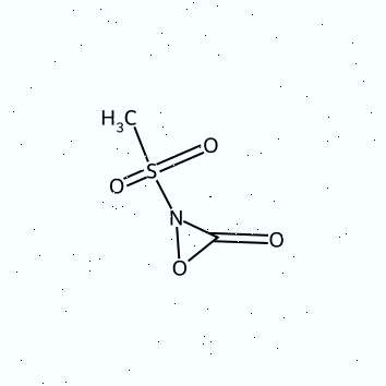 CS(=O)(=O)N1OC1=O